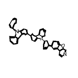 c1ccc(-n2c3ccccc3c3cc(-c4ccc5c(c4)c4ccccc4n5-c4cccc(-c5ccc6oc7cnccc7c6c5)c4)ccc32)cc1